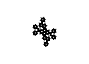 c1ccc(-c2ccc(-n3c(-c4ccccc4)c(-c4ccccc4)c4cc5ccc6c7c(ccc(c57)c43)cc3c(-c4ccccc4)c(-c4ccccc4)n(-c4ccc(-c5ccccc5)c5ccccc45)c36)c3ccccc23)cc1